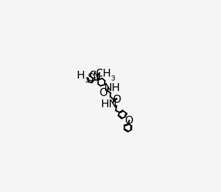 CN(C)C1(c2cccs2)CCC(NC(=O)CCC(=O)NCCc2ccc(Oc3ccccc3)cc2)CC1